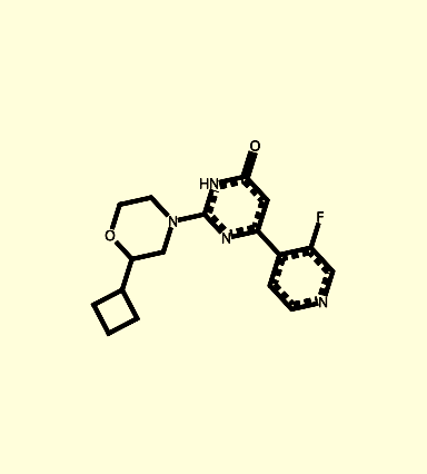 O=c1cc(-c2ccncc2F)nc(N2CCOC(C3CCC3)C2)[nH]1